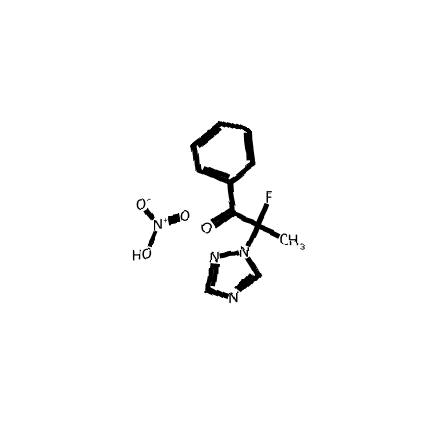 CC(F)(C(=O)c1ccccc1)n1cncn1.O=[N+]([O-])O